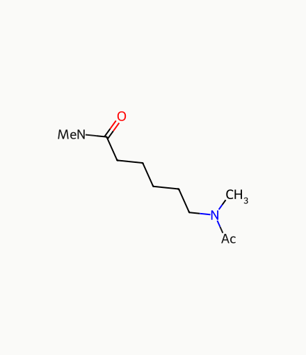 CNC(=O)CCCCCN(C)C(C)=O